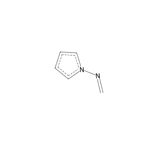 C=Nn1cccc1